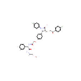 CC(C)(C)OC[C@H](NC(=O)[C@H](NC(=O)COc1ccc(C2C(SCC(O)c3ccc(F)cc3)C(=O)N2c2ccc(F)cc2)cc1)c1ccccc1)C(=O)O